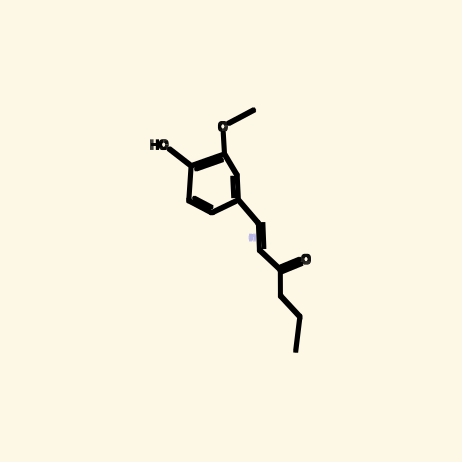 CCCC(=O)/C=C/c1ccc(O)c(OC)c1